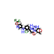 CC1CC(N2C(=N)N[C@](C)(c3cccc(Nc4ccc(OC(F)F)nc4)c3Cl)CC2=O)CCO1